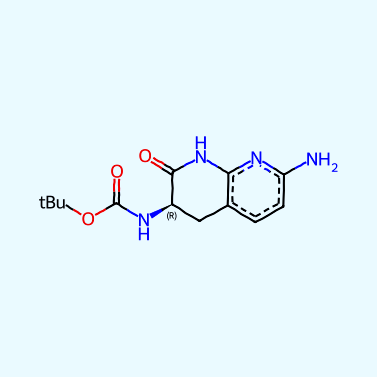 CC(C)(C)OC(=O)N[C@@H]1Cc2ccc(N)nc2NC1=O